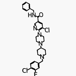 O=C(NCc1ccccc1)c1cnc(N2CCN(C3CCN(Cc4ccc(Cl)c(F)c4)CC3)CC2)c(Cl)c1